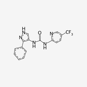 O=C(Nc1ccc(C(F)(F)F)cn1)Nc1c[nH]nc1-c1ccccc1